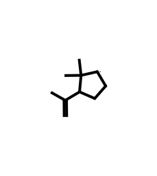 C=C(C)C1CC[CH]C1(C)C